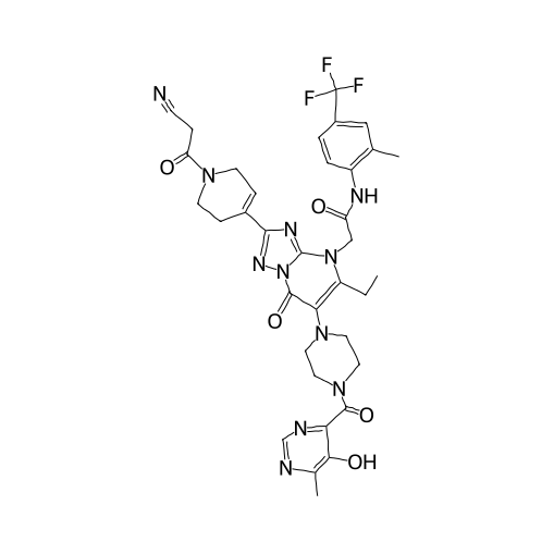 CCc1c(N2CCN(C(=O)c3ncnc(C)c3O)CC2)c(=O)n2nc(C3=CCN(C(=O)CC#N)CC3)nc2n1CC(=O)Nc1ccc(C(F)(F)F)cc1C